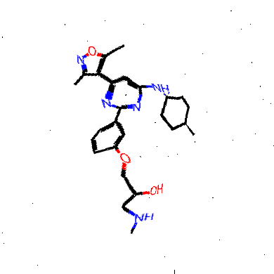 CNCC(O)COc1cccc(-c2nc(N[C@H]3CC[C@H](C)CC3)cc(-c3c(C)noc3C)n2)c1